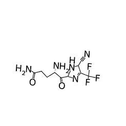 N#CC1NC(C(=O)[C@@H](N)CCC(N)=O)N=C1C(F)(F)F